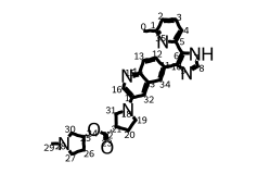 Cc1cccc(-c2[nH]cnc2-c2ccc3ncc(N4CC[C@H](C(=O)O[C@@H]5CCN(C)C5)C4)cc3c2)n1